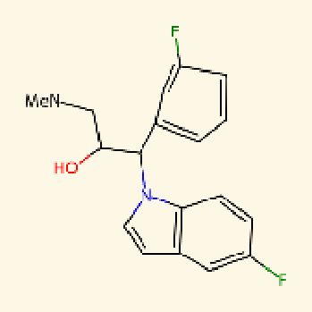 CNCC(O)C(c1cccc(F)c1)n1ccc2cc(F)ccc21